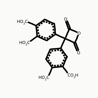 O=C(O)c1ccc(C2(c3ccc(C(=O)O)c(C(=O)O)c3)C(=O)OC2=O)cc1C(=O)O